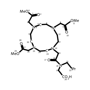 COC(=O)CN1CCN(CC(=O)OC)CCN(CC(=O)N(CC(=O)O)CC(C)C)CCN(CC(=O)OC)CC1